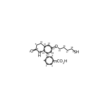 O=C(O)c1ccccc1.O=C1CCc2cc(OCCCCS)ccc2N1